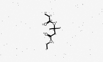 CCOC(=O)CC(C)(C)OC(=O)CC